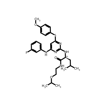 COc1ccc(Sc2cc(Nc3cccc(F)c3)nc(N[C@@H](CC(C)C)C(=O)NCCOC(C)C)n2)cc1